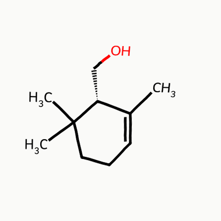 CC1=CCCC(C)(C)[C@@H]1CO